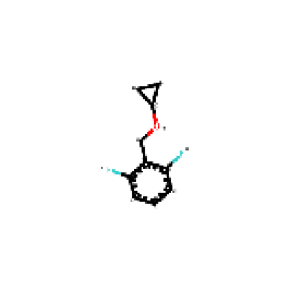 Fc1cccc(F)c1COC1CC1